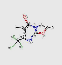 Cc1cn2c(=O)c(C)c(C(F)(F)F)nc2o1